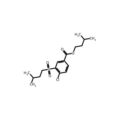 CC(C)CCOC(=O)c1ccc(Cl)c(S(=O)(=O)CCC(C)C)c1